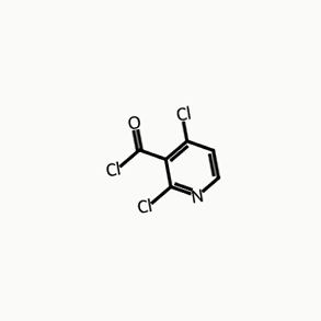 O=C(Cl)c1c(Cl)ccnc1Cl